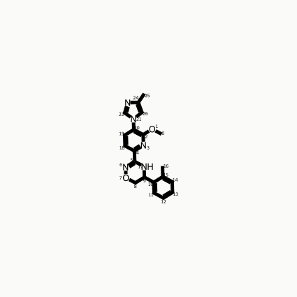 COc1nc(C2=NOCC(c3ccccc3C)N2)ccc1-n1cnc(C)c1